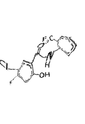 O=C(Nc1ccccc1C(F)(F)F)c1cc(Cl)c(F)cc1O